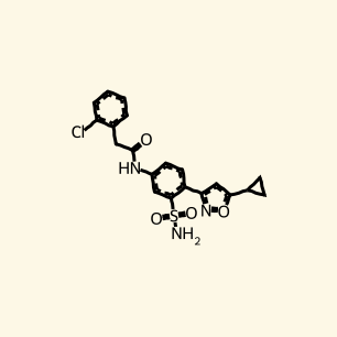 NS(=O)(=O)c1cc(NC(=O)Cc2ccccc2Cl)ccc1-c1cc(C2CC2)on1